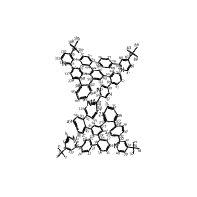 CC(C)(C)c1ccnc(-c2ccc(-c3ccccc3-c3cc(-c4ccccc4-c4ccc(-c5cc(C(C)(C)C)ccn5)cc4)cc(-c4ccccc4-c4ccc(-c5ccc(-c6ccccc6-c6cc(-c7ccccc7-c7ccc(-c8cc(C(C)(C)C)ccn8)cc7)cc(-c7ccccc7-c7ccc(-c8cc(C(C)(C)C)ccn8)cc7)c6)cn5)nc4)c3)cc2)c1